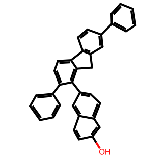 Oc1ccc2cc(-c3c(-c4ccccc4)ccc4c3Cc3cc(-c5ccccc5)ccc3-4)ccc2c1